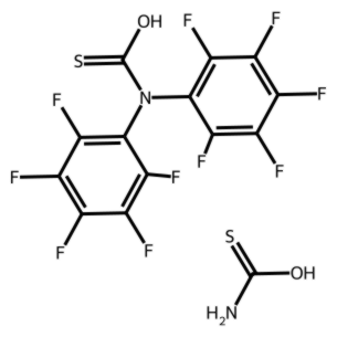 NC(O)=S.OC(=S)N(c1c(F)c(F)c(F)c(F)c1F)c1c(F)c(F)c(F)c(F)c1F